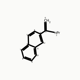 C=C(CCC)c1ccc2ccccc2c1